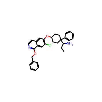 CCC(N)C1(c2ccccc2)CCC(Oc2cc3ccnc(OCc4ccccc4)c3cc2Cl)CC1